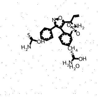 C.C=CC(C)c1onc(-c2ccccc2)c1-c1ccccc1S(N)(=O)=O.NC(O)=S.NC(O)=S.O